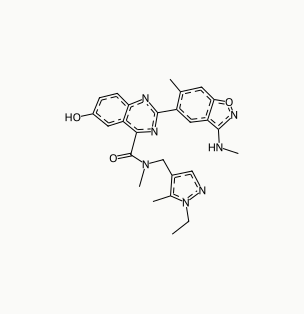 CCn1ncc(CN(C)C(=O)c2nc(-c3cc4c(NC)noc4cc3C)nc3ccc(O)cc23)c1C